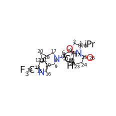 CC(C)[C@H]1CO[C@]23CC[C@H](N(Cc4ccc(C(F)(F)F)nc4)CC4CC4)C[C@H]2CCC(=O)N13